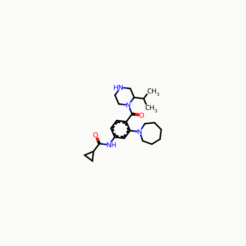 CC(C)C1CNCCN1C(=O)c1ccc(NC(=O)C2CC2)cc1N1CCCCCC1